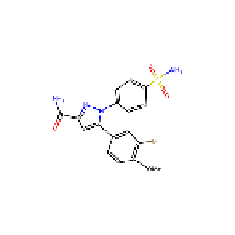 COc1ccc(-c2cc(C(N)=O)nn2-c2ccc(S(N)(=O)=O)cc2)cc1Br